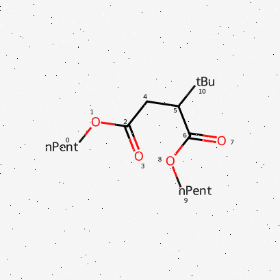 CCCCCOC(=O)CC(C(=O)OCCCCC)C(C)(C)C